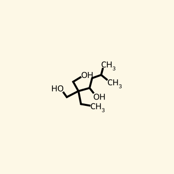 CCC(CO)(CO)C(O)CC(C)C